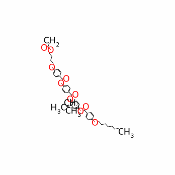 C=CC(=O)OCCCCOc1ccc(C(=O)Oc2ccc(C(=O)Oc3ccc(OC(=O)c4ccc(OCCCCCCCC)cc4)cc3C(C)(C)C)cc2)cc1